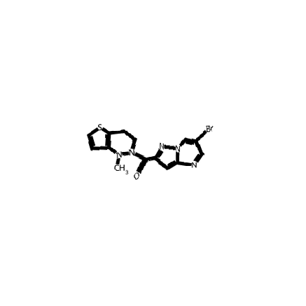 CN1c2ccsc2CCN1C(=O)c1cc2ncc(Br)cn2n1